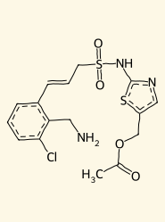 CC(=O)OCc1cnc(NS(=O)(=O)CC=Cc2cccc(Cl)c2CN)s1